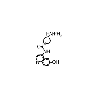 O=C(Nc1ccnc2ccc(O)cc12)N1CCC(NP)CC1